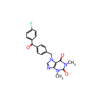 Cn1c(=O)c2c(ncn2Cc2ccc(C(=O)c3ccc(F)cc3)cc2)n(C)c1=O